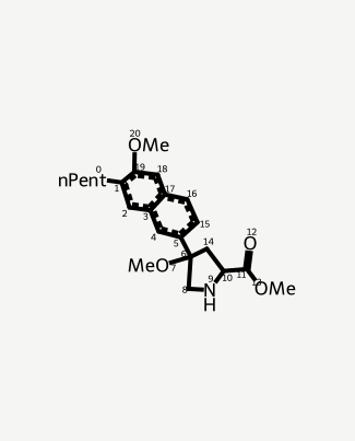 CCCCCc1cc2cc(C3(OC)CNC(C(=O)OC)C3)ccc2cc1OC